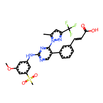 COc1cc(Nc2ncc(-c3cccc(C=CC(=O)O)c3)c(-n3nc(C(F)(F)F)cc3C)n2)cc(S(C)(=O)=O)c1